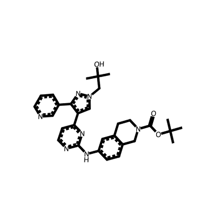 CC(C)(O)Cn1cc(-c2ccnc(Nc3ccc4c(c3)CCN(C(=O)OC(C)(C)C)C4)n2)c(-c2cccnc2)n1